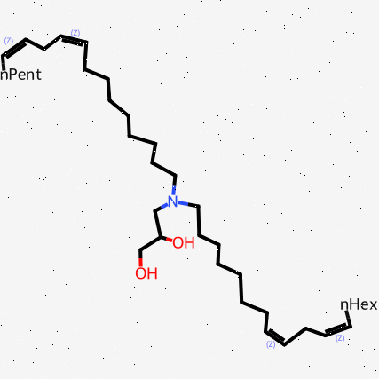 CCCCC/C=C\C/C=C\CCCCCCCCN(CCCCCCC/C=C\C/C=C\CCCCCC)CC(O)CO